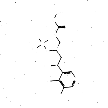 CC(C)(C)OC(=O)NC[C@@H](C[C@H](O)c1cncc(Cl)c1Cl)O[Si](C)(C)C(C)(C)C